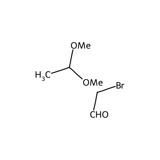 COC(C)OC.O=CCBr